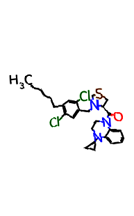 CCCCCCc1cc(Cl)c(CN2CSC[C@H]2C(=O)N2CCN(C3CC3)c3ccccc32)cc1Cl